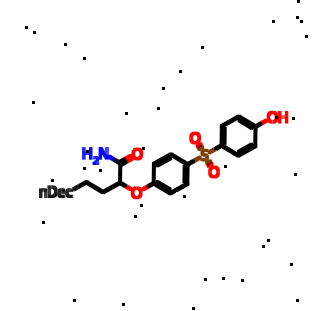 CCCCCCCCCCCCC(Oc1ccc(S(=O)(=O)c2ccc(O)cc2)cc1)C(N)=O